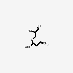 C=CCC([C]=O)OCC(O)CO